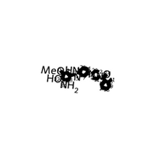 COc1cc(-c2nc3cc(N4CCN(C(=O)c5ccccc5C)CC4)ccc3[nH]2)cc(N)c1O